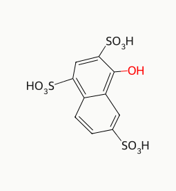 O=S(=O)(O)c1ccc2c(S(=O)(=O)O)cc(S(=O)(=O)O)c(O)c2c1